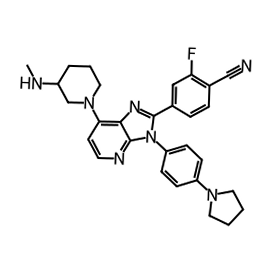 CNC1CCCN(c2ccnc3c2nc(-c2ccc(C#N)c(F)c2)n3-c2ccc(N3CCCC3)cc2)C1